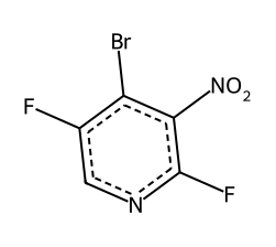 O=[N+]([O-])c1c(F)ncc(F)c1Br